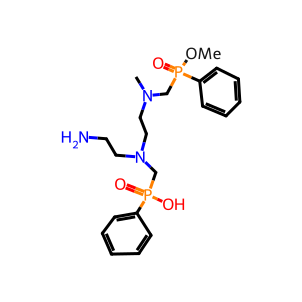 COP(=O)(CN(C)CCN(CCN)CP(=O)(O)c1ccccc1)c1ccccc1